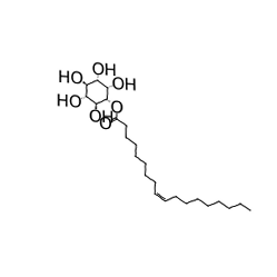 CCCCCCCC/C=C\CCCCCCCC(=O)O[C@@H]1[C@@H](O)[C@H](O)[C@@H](O)[C@H](O)[C@@H]1O